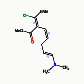 CN/C(Cl)=C(\C=C/C/C=C/N(C)C)C(=O)OC